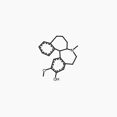 COc1cc2c(cc1O)CCN(C)C1CCCc3ccccc3C21